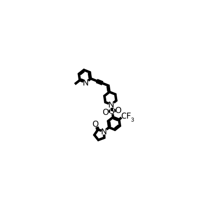 Cc1cccc(C#CC=C2CCN(S(=O)(=O)c3cc(N4CCCC4=O)ccc3C(F)(F)F)CC2)n1